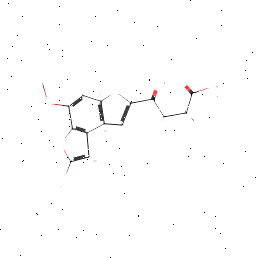 COc1cc2sc(C(=O)C[C@H](C)C(=O)O)cc2c2cc(F)oc12